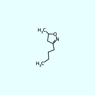 CCCCC1=NOC(C)C1